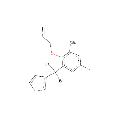 C=CCOc1c(C(C)(C)C)cc(C)cc1C(CC)(CC)C1=CCC=C1